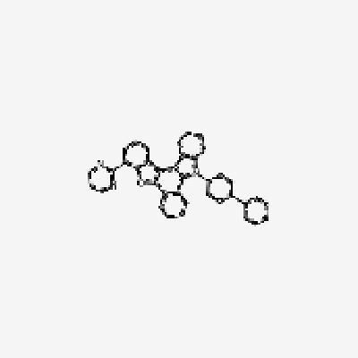 c1ccc(-c2ccc(-n3c4ccccc4c4c5c6cccc(-c7ncccn7)c6oc5c5ccccc5c43)cc2)cc1